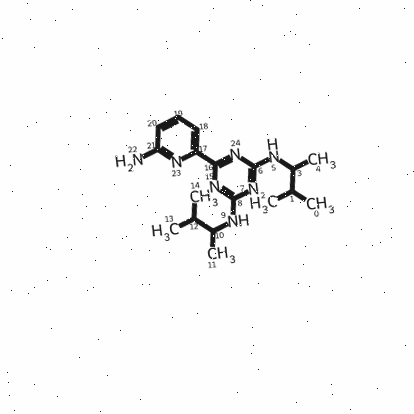 CC(C)C(C)Nc1nc(NC(C)C(C)C)nc(-c2cccc(N)n2)n1